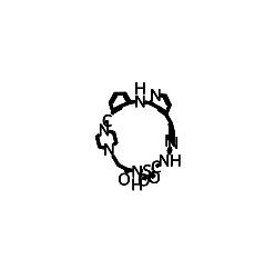 O=C1CN2CCN(CC2)Cc2cccc(c2)Nc2cc(ccn2)-c2cnc(nc2)NCS(=O)(=O)N1